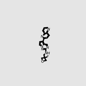 FC1(CNc2ncc3c(-c4ccc5ncccc5n4)ccn3n2)COC1